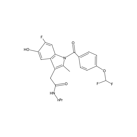 CCCNC(=O)Cc1c(C)n(C(=O)c2ccc(OC(F)F)cc2)c2cc(F)c(O)cc12